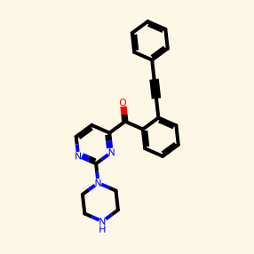 O=C(c1ccnc(N2CCNCC2)n1)c1ccccc1C#Cc1ccccc1